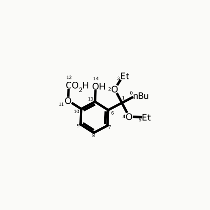 CCCCC(OCC)(OCC)c1cccc(OC(=O)O)c1O